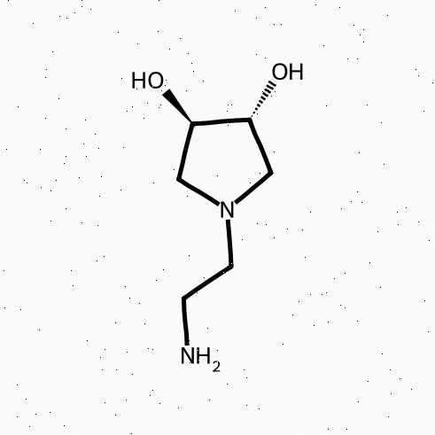 NCCN1C[C@@H](O)[C@H](O)C1